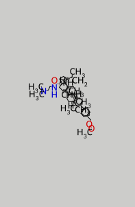 C=C(C)[C@@H]1CC[C@]2(C(=O)NCCN(C)C)CC[C@]3(C)[C@H](CC[C@@H]4[C@@]5(C)CC=C(c6ccc(COOC)cc6)C(C)(C)[C@@H]5CC[C@]43C)[C@@H]12